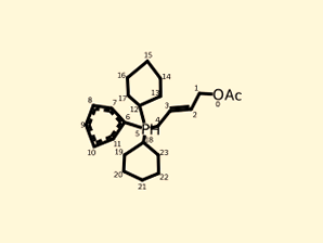 CC(=O)OC/C=C/C[PH](c1ccccc1)(C1CCCCC1)C1CCCCC1